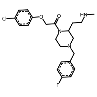 CNCCC1CN(Cc2ccc(F)cc2)CCN1C(=O)COc1ccc(Cl)cc1